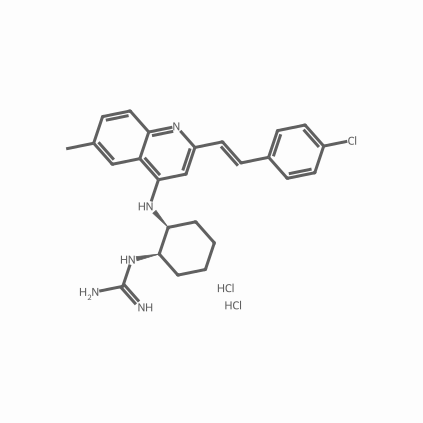 Cc1ccc2nc(C=Cc3ccc(Cl)cc3)cc(N[C@H]3CCCC[C@H]3NC(=N)N)c2c1.Cl.Cl